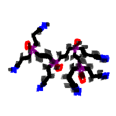 N#CCCP(=O)(CCC#N)CCP(=O)(CCC#N)CCCP(=O)(CCC#N)CCP(=O)(CCC#N)CCC#N